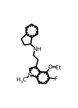 CCOc1c(F)ccc2c1c(CCNC1CCc3ccccc31)cn2C